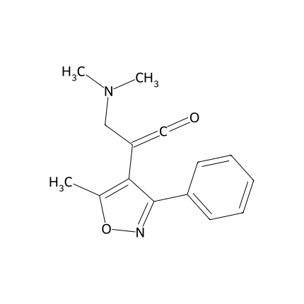 Cc1onc(-c2ccccc2)c1C(=C=O)CN(C)C